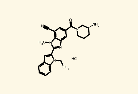 CCn1c(-c2nc3cc(C(=O)N4CCC[C@@H](N)C4)cc(C#N)c3n2C)cc2ccccc21.Cl